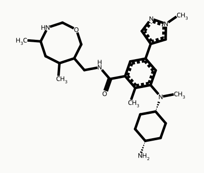 Cc1c(C(=O)NCC2COCNC(C)CC2C)cc(-c2cnn(C)c2)cc1N(C)[C@H]1CC[C@@H](N)CC1